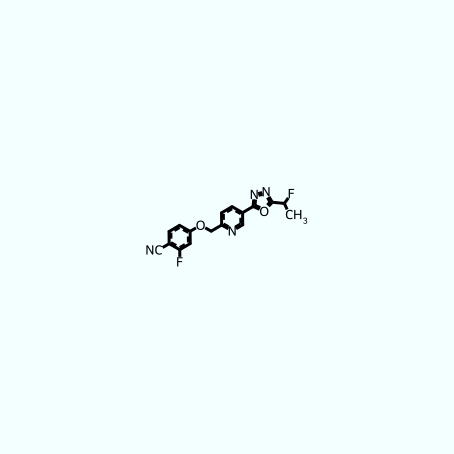 CC(F)c1nnc(-c2ccc(COc3ccc(C#N)c(F)c3)nc2)o1